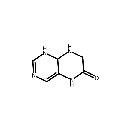 O=C1CNC2NC=NC=C2N1